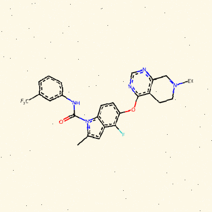 CCN1CCc2c(ncnc2Oc2ccc3c(cc(C)n3C(=O)Nc3cccc(C(F)(F)F)c3)c2F)C1